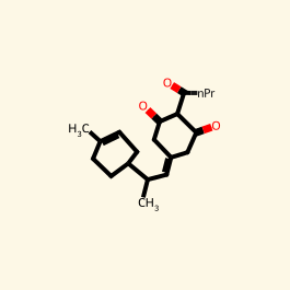 CCCC(=O)C1C(=O)CC(=CC(C)C2CC=C(C)CC2)CC1=O